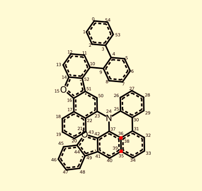 c1ccc(-c2ccccc2-c2cccc3oc4c5ccccc5c(N(c5ccccc5-c5ccccc5)c5cccc6c5oc5ccccc56)cc4c23)cc1